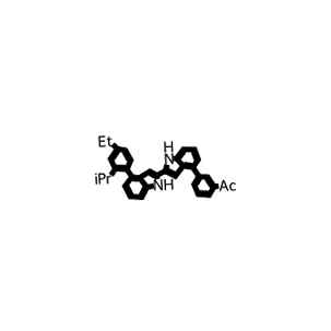 CCc1ccc(-c2cccc3[nH]c(-c4cc5c(-c6cccc(C(C)=O)c6)cccc5[nH]4)cc23)c(C(C)C)c1